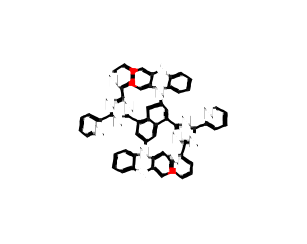 c1ccc(-c2nc(-c3ccccn3)nc(-c3cc(N4c5ccccc5Sc5ccccc54)cc4c(-c5nc(-c6ccccn6)nc(-c6ccccn6)n5)cc(N5c6ccccc6Sc6ccccc65)cc34)n2)nc1